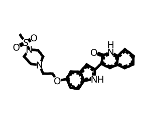 CS(=O)(=O)N1CCN(CCOc2ccc3[nH]c(-c4cc5ccccc5[nH]c4=O)cc3c2)CC1